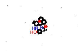 COc1ccc2ccccc2c1C1C2=C(CC(C)(C)CC2=O)Nc2c(O)cccc2N1C(=O)C(C)C